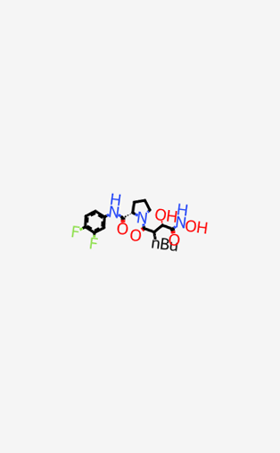 CCCCC(C(=O)N1CCC[C@H]1C(=O)Nc1ccc(F)c(F)c1)[C@H](O)C(=O)NO